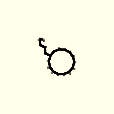 NCCCC1CCCCCCCCCCCCC1